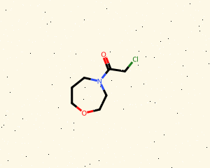 O=C(CCl)N1CCCOCC1